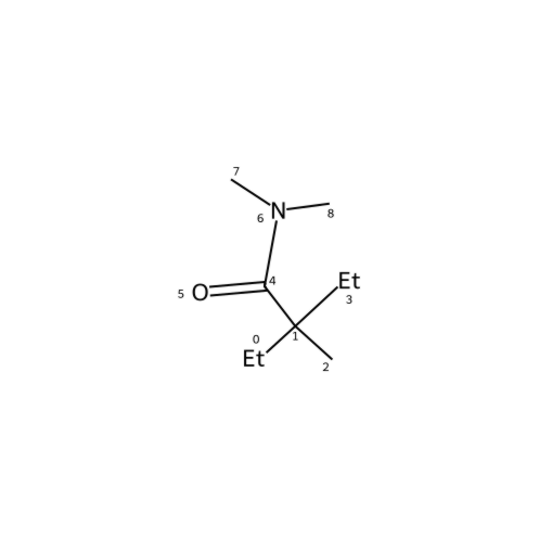 CCC(C)(CC)C(=O)N(C)C